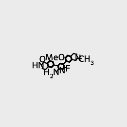 COc1cc2c(cc1-c1cc(-c3ccc4c(c3)CCNC4=O)c(N)nc1F)CN(C)CC2